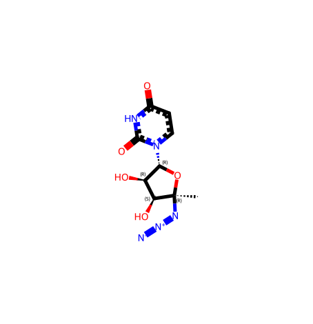 [CH2][C@@]1(N=[N+]=[N-])O[C@@H](n2ccc(=O)[nH]c2=O)[C@H](O)[C@@H]1O